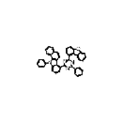 c1ccc(-c2nc(-c3cccc4oc5ccccc5c34)nc(-c3cccc4c3c3ccc5ccccc5c3n4-c3ccccc3)n2)cc1